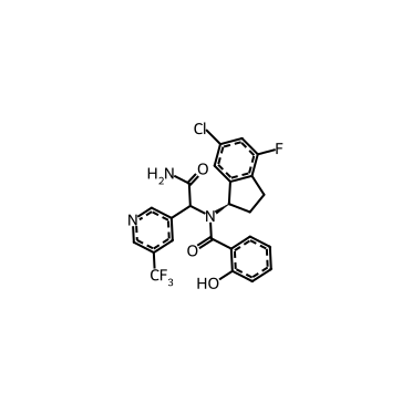 NC(=O)C(c1cncc(C(F)(F)F)c1)N(C(=O)c1ccccc1O)[C@@H]1CCc2c(F)cc(Cl)cc21